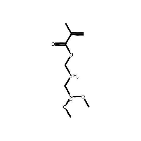 C=C(C)C(=O)OC[SiH2]C[SiH](OC)OC